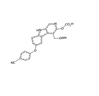 COCc1c(OC(=O)O)ncc2[nH]c3ccc(Oc4ccc(C#N)cc4)cc3c12